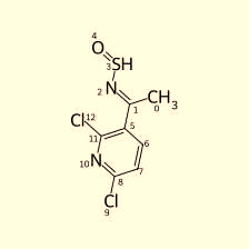 CC(=N[SH]=O)c1ccc(Cl)nc1Cl